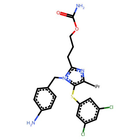 CC(C)c1nc(CCCOC(N)=O)n(Cc2ccc(N)cc2)c1Sc1cc(Cl)cc(Cl)c1